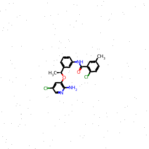 Cc1ccc(Cl)c(C(=O)Nc2cccc([C@H](C)Oc3cc(Cl)cnc3N)c2)c1